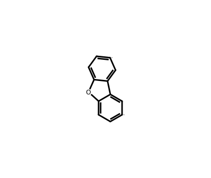 [c]1ccc2oc3cc[c]cc3c2c1